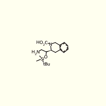 CC(C)(C)[Si](C)(C)OC(CN)[C@@H]1Cc2ccccc2CN1C(=O)O